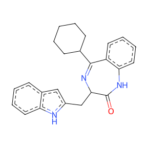 O=C1Nc2ccccc2C(C2CCCCC2)=NC1Cc1cc2ccccc2[nH]1